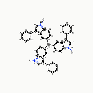 Cn1cc(-c2ccccc2)c2c[c]([Bi]([c]3ccc4c(c3)c(-c3ccccc3)cn4C)[c]3ccc4c(c3)c(-c3ccccc3)cn4C)ccc21